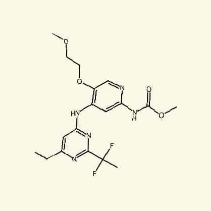 CCc1cc(Nc2cc(NC(=O)OC)ncc2OCCOC)nc(C(C)(F)F)n1